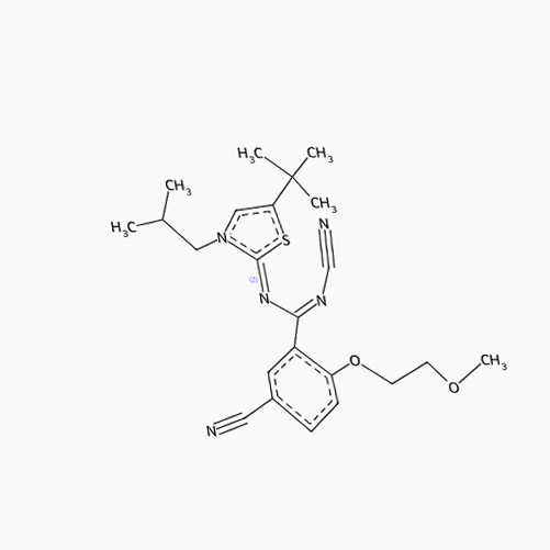 COCCOc1ccc(C#N)cc1C(=NC#N)/N=c1\sc(C(C)(C)C)cn1CC(C)C